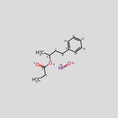 CCC(=O)OC(C)CCc1ccccc1.O=P